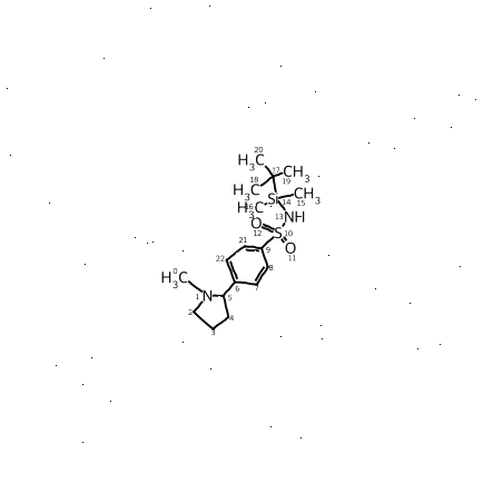 CN1CCCC1c1ccc(S(=O)(=O)N[Si](C)(C)C(C)(C)C)cc1